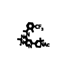 CC(=O)N1CCC(c2cc3c(=NC(C)c4cccc(C(F)(F)F)c4C)nc(C)n(C)c3cn2)=CC1(C)C